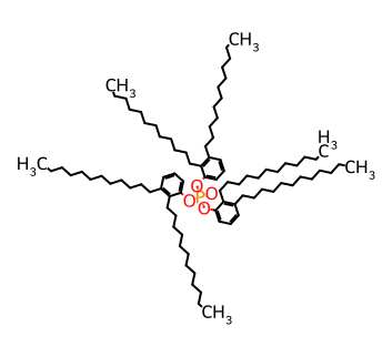 CCCCCCCCCCCCc1cccc(OP(=O)(Oc2cccc(CCCCCCCCCCCC)c2CCCCCCCCCCCC)Oc2cccc(CCCCCCCCCCCC)c2CCCCCCCCCCCC)c1CCCCCCCCCCCC